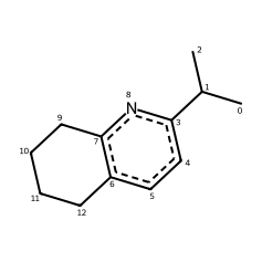 CC(C)c1ccc2c(n1)CCCC2